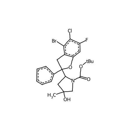 CC1(O)CC(C2(c3ccccc3)Cc3c(cc(F)c(Cl)c3Br)O2)N(C(=O)OC(C)(C)C)C1